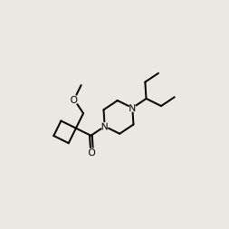 CCC(CC)N1CCN(C(=O)C2(COC)CCC2)CC1